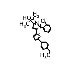 CCc1ccc(-c2ccc(-c3cc(C(C)(C)O)nn3-c3ccccc3Cl)s2)cc1